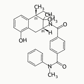 CN(C(=O)c1ccc(C(=O)N2CC[C@@]3(C)c4cccc(O)c4C[C@@H]2C3(C)C)cc1)c1ccccc1